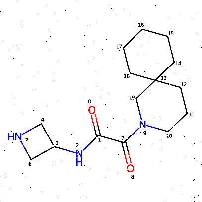 O=C(NC1CNC1)C(=O)N1CCCC2(CCCCC2)C1